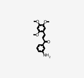 COc1cc(OC)c(OC)cc1C=CC(=O)c1cccc(N)c1